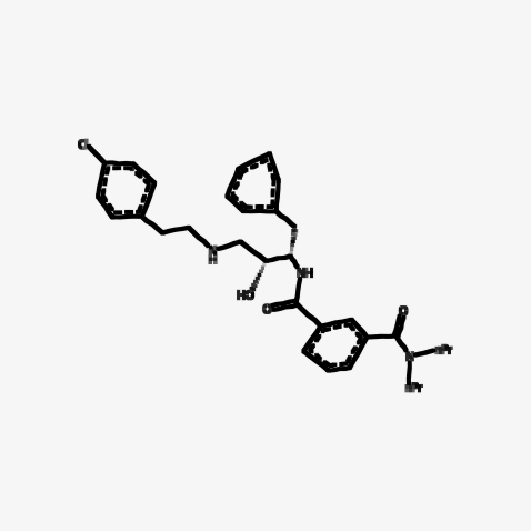 CCCN(CCC)C(=O)c1cccc(C(=O)N[C@@H](Cc2ccccc2)[C@H](O)CNCCc2ccc(Cl)cc2)c1